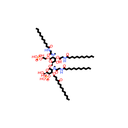 CCCCCCCCCCCC(=O)NCC(=O)O[C@H]1[C@H](O)[C@@H](CO[C@@H]2O[C@H](CO)[C@@H](OP(=O)(O)O)[C@H](OCCCC(=O)CCCCCCCCCC)[C@H]2N(C)C(=O)CNC(=O)CCCCCCCCCCC)O[C@H](OCCOP(=O)(O)O)[C@@H]1N(C)C(=O)CNC(=O)CCCCCCCCCCC